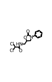 O=C(NCC1CN(c2ccccc2)C(=O)O1)C(Cl)Cl